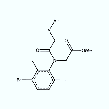 COC(=O)CN(C(=O)CSC(C)=O)c1c(C)ccc(Br)c1C